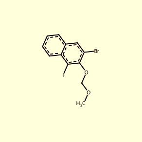 COCOc1c(Br)cc2ccccc2c1I